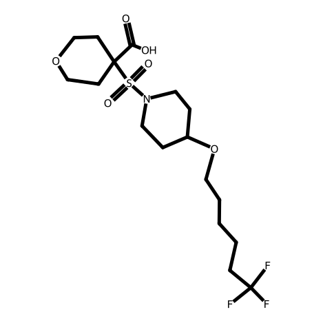 O=C(O)C1(S(=O)(=O)N2CCC(OCCCCCC(F)(F)F)CC2)CCOCC1